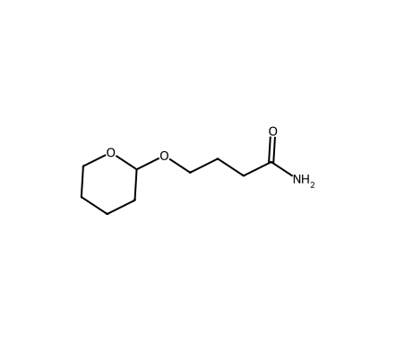 NC(=O)CCCOC1CCCCO1